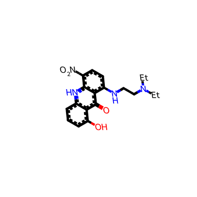 CCN(CC)CCNc1ccc([N+](=O)[O-])c2[nH]c3cccc(O)c3c(=O)c12